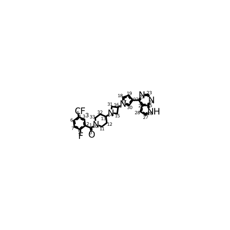 O=C(c1cc(C(F)(F)F)ccc1F)N1CCC(N2C[C](n3ccc(-c4ncnc5[nH]ccc45)c3)C2)CC1